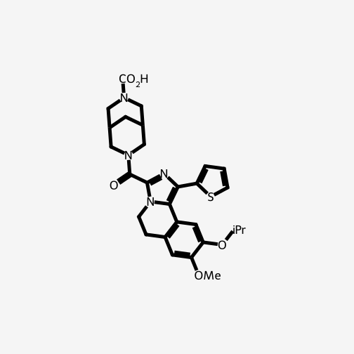 COc1cc2c(cc1OC(C)C)-c1c(-c3cccs3)nc(C(=O)N3CC4CC(CN(C(=O)O)C4)C3)n1CC2